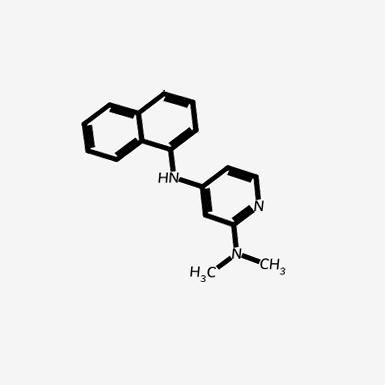 CN(C)c1cc(Nc2cc[c]c3ccccc23)ccn1